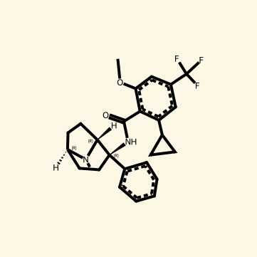 COc1cc(C(F)(F)F)cc(C2CC2)c1C(=O)N[C@@]1(c2ccccc2)CC[C@H]2CC[C@H]1N2C